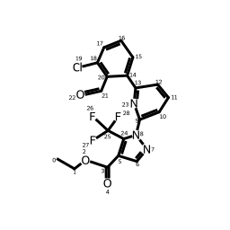 CCOC(=O)c1cnn(-c2cccc(-c3cccc(Cl)c3C=O)n2)c1C(F)(F)F